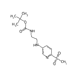 CC(C)(C)OC(=O)NCCNc1ccc(S(C)(=O)=O)nc1